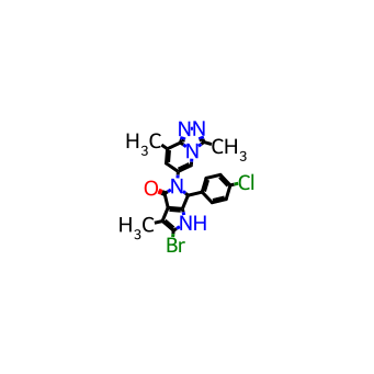 Cc1c(Br)[nH]c2c1C(=O)N(c1cc(C)c3nnc(C)n3c1)C2c1ccc(Cl)cc1